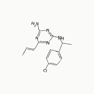 CC=Cc1nc(N)nc(NC(C)c2ccc(Cl)cc2)n1